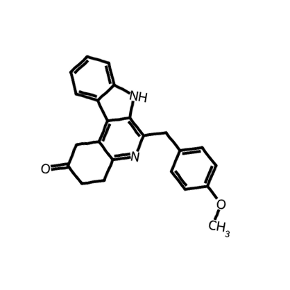 COc1ccc(Cc2nc3c(c4c2[nH]c2ccccc24)CC(=O)CC3)cc1